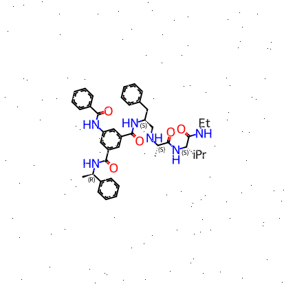 CCNC(=O)[C@@H](NC(=O)[C@H](C)NC[C@H](Cc1ccccc1)NC(=O)c1cc(NC(=O)c2ccccc2)cc(C(=O)N[C@H](C)c2ccccc2)c1)C(C)C